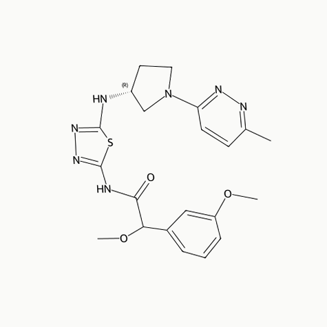 COc1cccc(C(OC)C(=O)Nc2nnc(N[C@@H]3CCN(c4ccc(C)nn4)C3)s2)c1